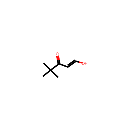 CC(C)(C)C(=O)C=CO